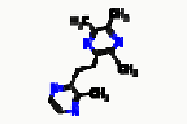 Cc1nc(C)c(CCc2nccnc2C)nc1C